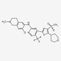 CN1CCc2cc(Nc3ncc(C(F)(F)F)c(-c4cc(S(C)(=O)=O)c(C5CCOCC5)s4)n3)c(Cl)cc2C1